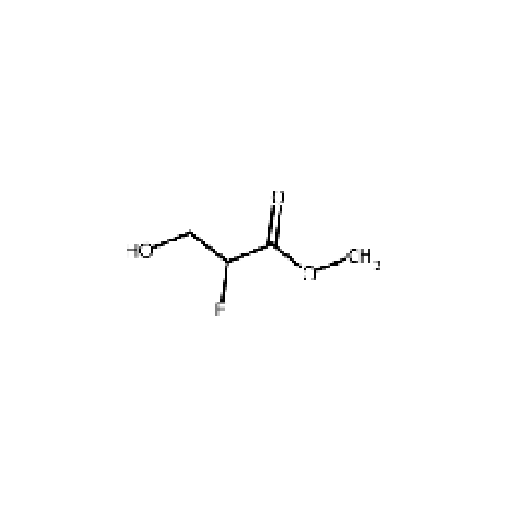 COC(=O)C(F)CO